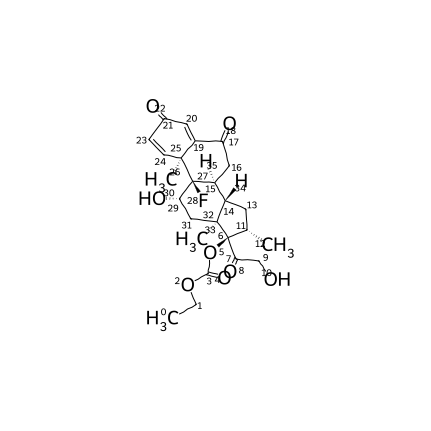 CCOC(=O)O[C@]1(C(=O)CO)[C@@H](C)C[C@H]2[C@@H]3CC(=O)C4=CC(=O)C=C[C@]4(C)[C@@]3(F)[C@@H](O)C[C@@]21C